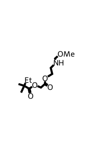 CCC(C)(C)C(=O)OCC(=O)OCCNCOC